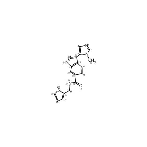 Cn1cncc1-c1n[nH]c2cc(C(=O)NCc3cccs3)ccc12